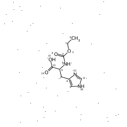 CCOC(=O)NC(Cc1c[nH]cn1)C(=O)O